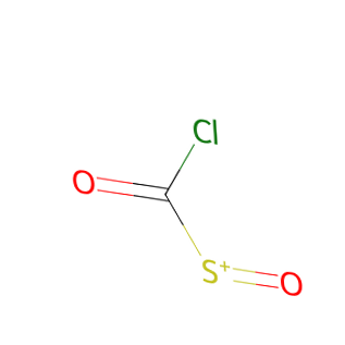 O=[S+]C(=O)Cl